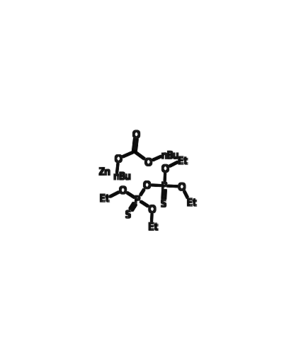 CCCCOC(=O)OCCCC.CCOP(=S)(OCC)OP(=S)(OCC)OCC.[Zn]